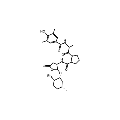 Cc1cc(C(=O)N[C@@H](C)C(=O)N2CCC[C@H]2C(=O)NC2CC(=O)OC2O[C@@H]2C[C@H](C)CC[C@H]2C(C)C)cc(C)c1O